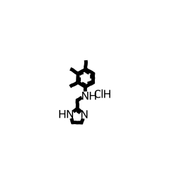 Cc1ccc(NCC2=NCCN2)c(C)c1C.Cl